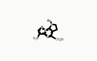 CCOC(=O)c1nc2c([N+](=O)[O-])cnn2c2c1CCN2C(C)CC